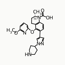 COc1cccc(Oc2c(-c3cnn(C4CCNCC4)c3)ccc3c2CC[C@H](C)N3C(=O)O)n1